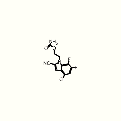 N#Cc1cc2c(Cl)cc(F)c(F)c2n1CCOC(N)=O